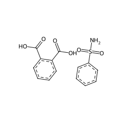 NS(=O)(=O)c1ccccc1.O=C(O)c1ccccc1C(=O)O